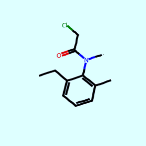 [CH2]N(C(=O)CCl)c1c(C)cccc1CC